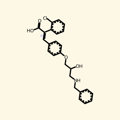 O=C(O)/C(=C/c1ccc(OCC(O)CNCc2ccccc2)cc1)c1ccccc1Cl